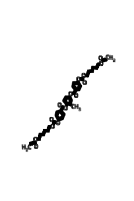 C=CC(=O)OCCCCCCOC(=O)Oc1ccc(C(=O)Oc2ccc(OC(=O)c3ccc(OC(=O)OCCCCCCOC(=O)C=C)cc3)c(C)c2)cc1